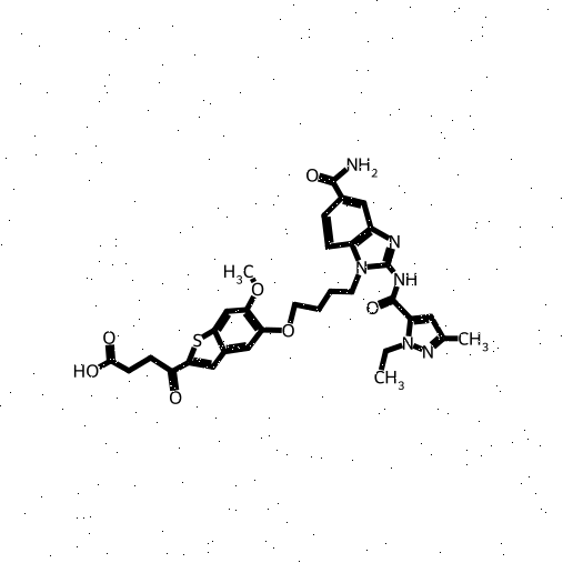 CCn1nc(C)cc1C(=O)Nc1nc2cc(C(N)=O)ccc2n1CCCCOc1cc2cc(C(=O)CCC(=O)O)sc2cc1OC